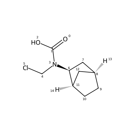 O=C(O)N(CCl)[C@H]1C[C@H]2CC[C@@H]1C2